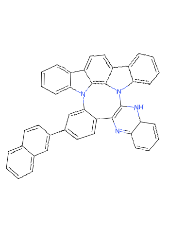 C1=CC2=Nc3c(n4c5ccccc5c5ccc6c7ccccc7n(c7cc(-c8ccc9ccccc9c8)ccc37)c6c54)NC2C=C1